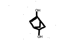 OC1=CC2CC1CC2O